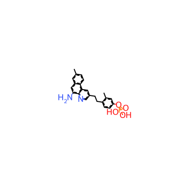 Cc1ccc2c(c1)cc(N)c1ncc(CCc3ccc(OP(=O)(O)O)cc3C)cc12